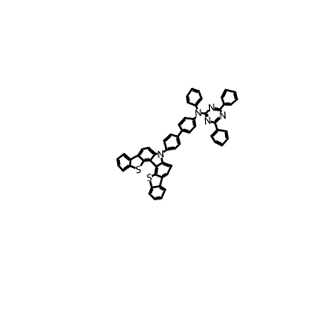 c1ccc(-c2nc(-c3ccccc3)nc(N(c3ccccc3)c3ccc(-c4ccc(-n5c6ccc7c8ccccc8sc7c6c6c7sc8ccccc8c7ccc65)cc4)cc3)n2)cc1